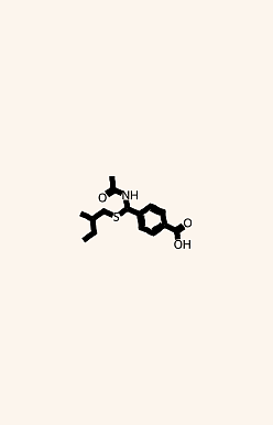 CCC(C)CSC(NC(C)=O)c1ccc(C(=O)O)cc1